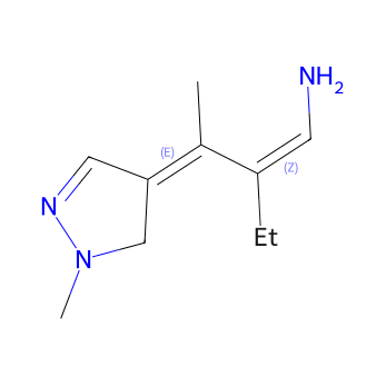 CCC(=C/N)/C(C)=C1/C=NN(C)C1